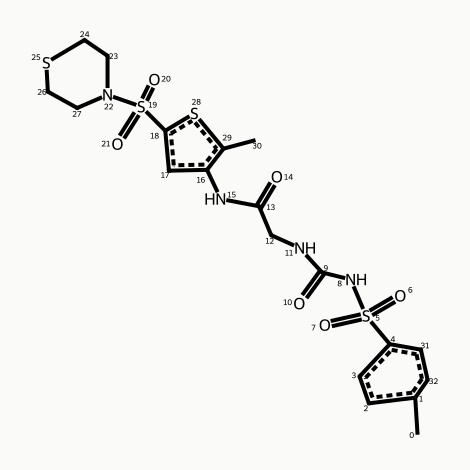 Cc1ccc(S(=O)(=O)NC(=O)NCC(=O)Nc2cc(S(=O)(=O)N3CCSCC3)sc2C)cc1